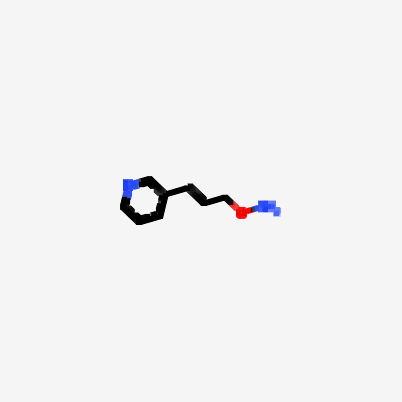 NOC/C=C/c1cccnc1